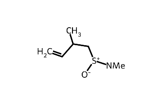 C=CC(C)C[S+]([O-])NC